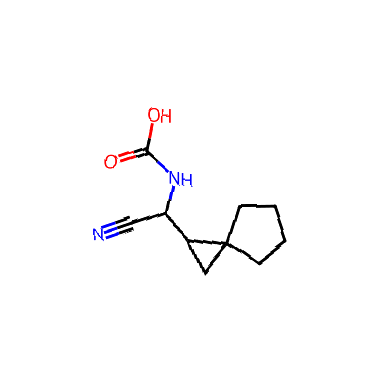 N#CC(NC(=O)O)C1CC12CCCC2